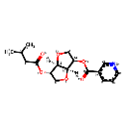 CC(C)CC(=O)O[C@H]1CO[C@H]2[C@@H]1OC[C@H]2OC(=O)c1cccnc1